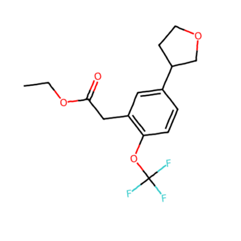 CCOC(=O)Cc1cc(C2CCOC2)ccc1OC(F)(F)F